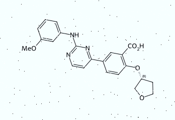 COc1cccc(Nc2nccc(-c3ccc(O[C@@H]4CCOC4)c(C(=O)O)c3)n2)c1